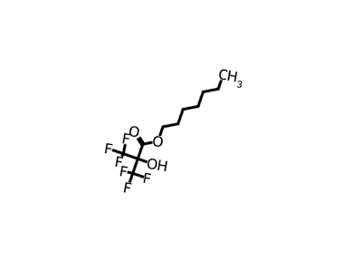 CCCCCCCOC(=O)C(O)(C(F)(F)F)C(F)(F)F